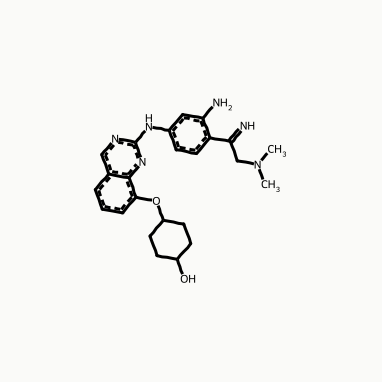 CN(C)CC(=N)c1ccc(Nc2ncc3cccc(OC4CCC(O)CC4)c3n2)cc1N